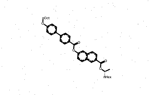 CCCCCCCCOc1ccc(-c2ccc(C(=O)Oc3ccc4cc(C(=O)O[C@H](C)CCCCCC)ccc4c3)cc2)cc1